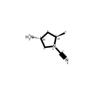 C[C@@H]1C[C@@H](N)CN1C#N